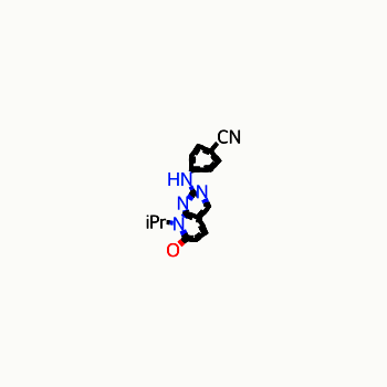 CC(C)n1c(=O)ccc2cnc(Nc3ccc(C#N)cc3)nc21